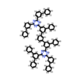 c1ccc(-c2cccc(-c3nc(-c4cccc(-c5ccccc5)c4)nc(-c4cc(-c5ccccc5)cc(-c5cccc(-c6cc(-c7ccccc7)cc(-c7nc(-c8cccc(-c9ccccc9)c8)nc(-c8cc(-c9ccccc9)cc(-c9ccccc9)c8)n7)c6)c5)c4)n3)c2)cc1